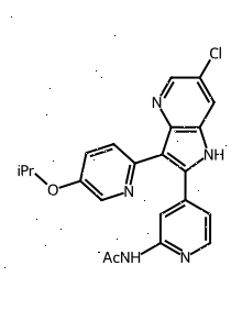 CC(=O)Nc1cc(-c2[nH]c3cc(Cl)cnc3c2-c2ccc(OC(C)C)cn2)ccn1